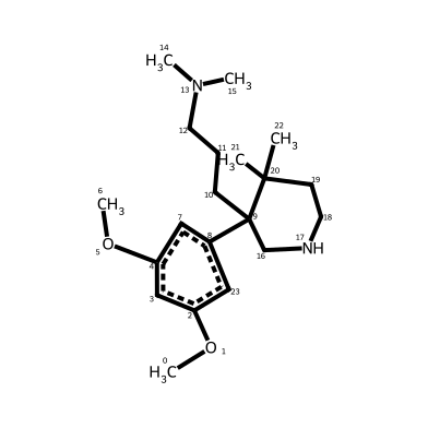 COc1cc(OC)cc(C2(CCCN(C)C)CNCCC2(C)C)c1